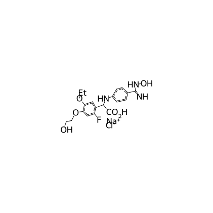 CCOc1cc(C(Nc2ccc(C(=N)NO)cc2)C(=O)O)c(F)cc1OCCO.[Cl-].[Na+]